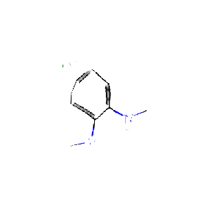 CNc1ccccc1NC.Cl